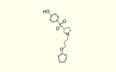 O=S(=O)(c1ccc(O)cc1)C1CCN(CCCOc2ccccc2)C1